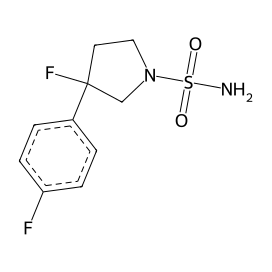 NS(=O)(=O)N1CCC(F)(c2ccc(F)cc2)C1